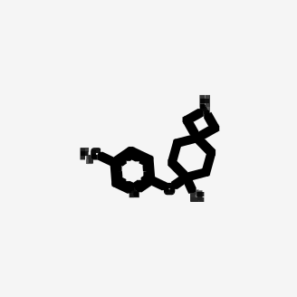 CCC1(Oc2ccc(C(F)(F)F)cn2)CCC2(CC1)CNC2